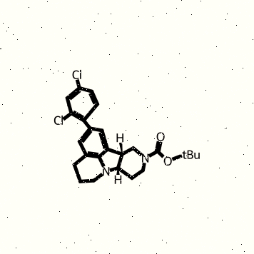 CC(C)(C)OC(=O)N1CC[C@H]2[C@@H](C1)c1cc(-c3ccc(Cl)cc3Cl)cc3c1N2CCC3